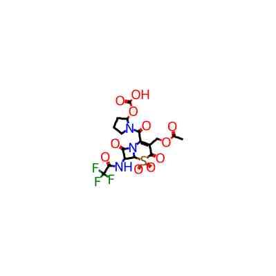 CC(=O)OCC1=C(C(=O)N2CCCC2OC(=O)O)N2C(=O)C(NC(=O)C(F)(F)F)C2S(=O)(=O)C1=O